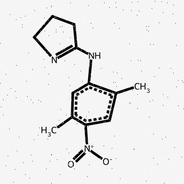 Cc1cc([N+](=O)[O-])c(C)cc1NC1=NCCC1